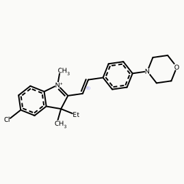 CCC1(C)C(/C=C/c2ccc(N3CCOCC3)cc2)=[N+](C)c2ccc(Cl)cc21